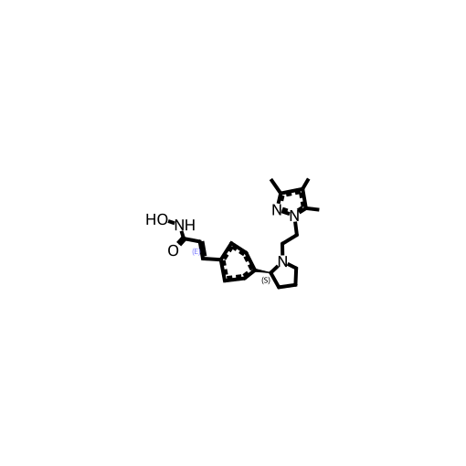 Cc1nn(CCN2CCC[C@H]2c2ccc(/C=C/C(=O)NO)cc2)c(C)c1C